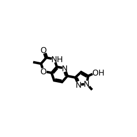 CC1Oc2ccc(-c3cc(O)n(C)n3)nc2NC1=O